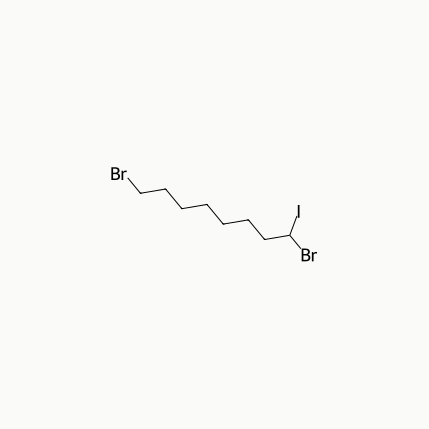 BrCCCCCCCC(Br)I